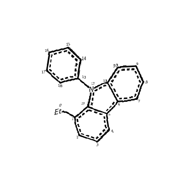 CCc1cccc2c3ccccc3n(-c3ccccc3)c12